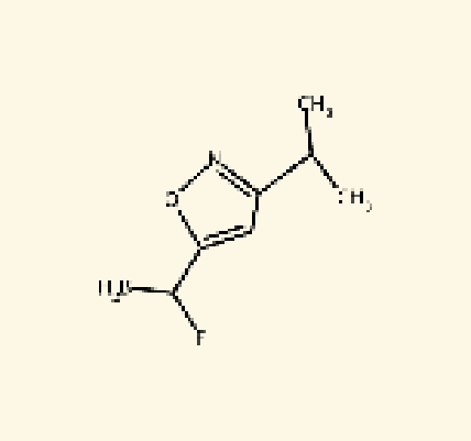 BC(F)c1cc(C(C)C)no1